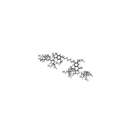 C=C1C[C@@H](CO[Si](C)(C)C(C)(C)C)N(C(=O)c2cc(OC)c(OCCCCCOc3cc(N)c(C(=O)N4CC(C)(C)C[C@H]4CO[Si](C)(C)C(C)(C)C)cc3OC)cc2NC(=O)OC(C)(C)C)C1